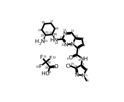 Cn1cc(NC(=O)c2ccc3cnc(N[C@@H]4CCCC[C@@H]4N)nn23)c(Cl)n1.O=C(O)C(F)(F)F